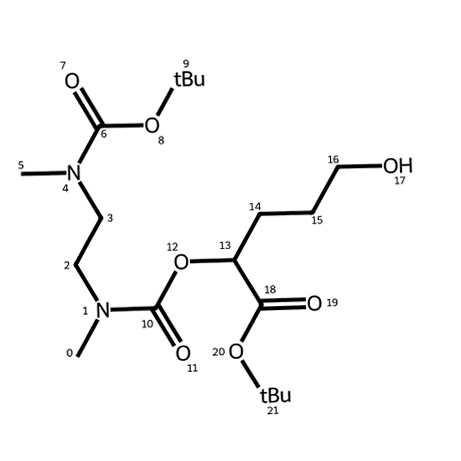 CN(CCN(C)C(=O)OC(C)(C)C)C(=O)OC(CCCO)C(=O)OC(C)(C)C